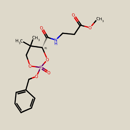 COC(=O)CCNC(=O)[C@@H]1OP(=O)(OCc2ccccc2)OCC1(C)C